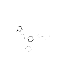 CCN(c1cc(OC2CC(N3C[C@@H](C)O[C@@H](C)C3)C2)cc(C(=O)NCc2c(C)cc(C)[nH]c2=O)c1C)[C@@H]1C[C@@H](C)O[C@@H](C)C1